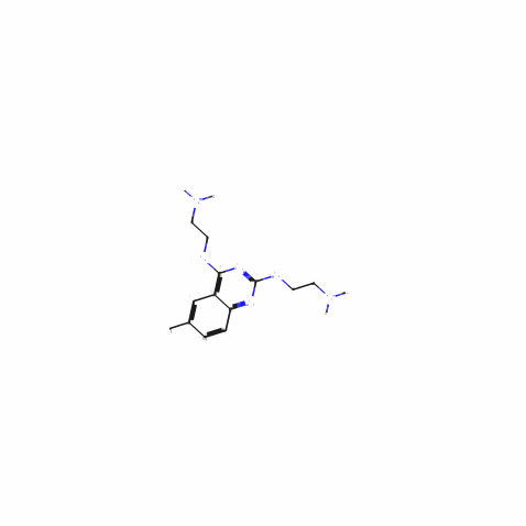 CCN(CC)CCNc1nc(NCCN(CC)CC)c2cc(C)ccc2n1